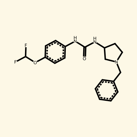 O=C(Nc1ccc(OC(F)F)cc1)NC1CCN(Cc2ccccc2)C1